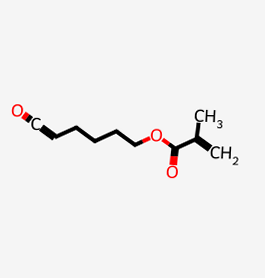 C=C(C)C(=O)OCCCCC=C=O